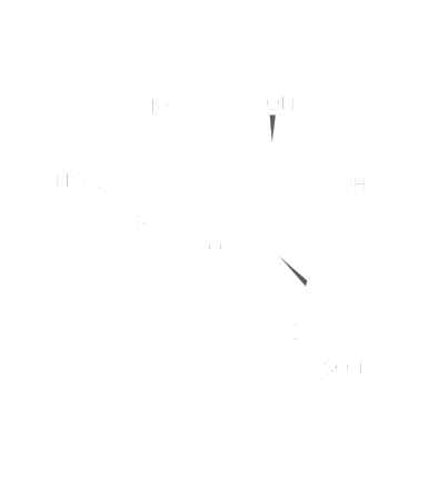 O=S(=O)(O)OC[C@H]1O[C@H](OS(=O)(=O)O)[C@H](O)[C@@H](O)[C@@H]1O